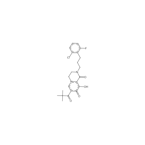 CC(C)(C)C(=O)c1cn2c(c(O)c1=O)C(=O)N(CCCc1c(F)cccc1Cl)CC2